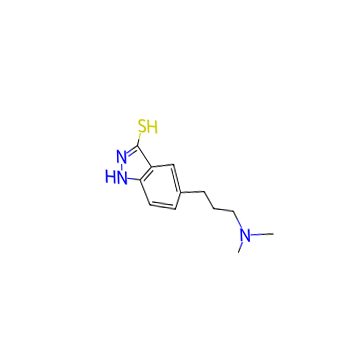 CN(C)CCCc1ccc2[nH]nc(S)c2c1